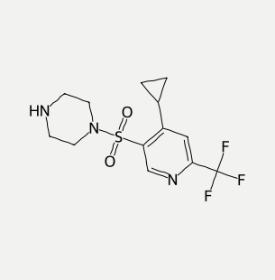 O=S(=O)(c1cnc(C(F)(F)F)cc1C1CC1)N1CCNCC1